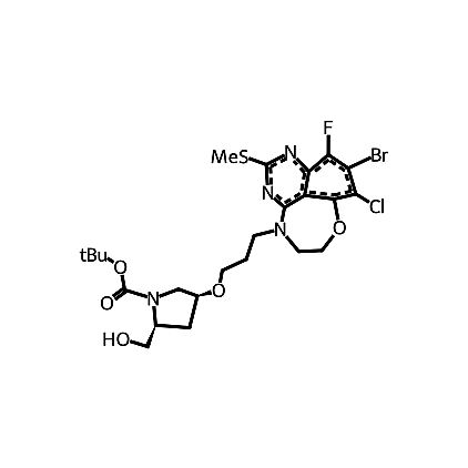 CSc1nc2c3c(c(Cl)c(Br)c(F)c3n1)OCCN2CCCO[C@H]1C[C@@H](CO)N(C(=O)OC(C)(C)C)C1